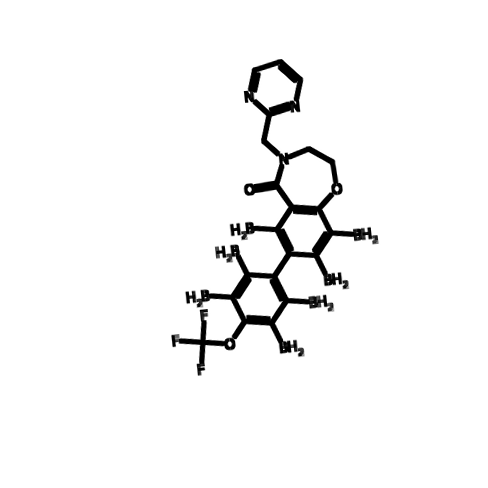 Bc1c(B)c(-c2c(B)c(B)c3c(c2B)C(=O)N(Cc2ncccn2)CCO3)c(B)c(B)c1OC(F)(F)F